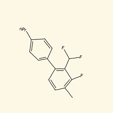 CCCc1ccc(-c2ccc(C)c(F)c2C(F)F)cc1